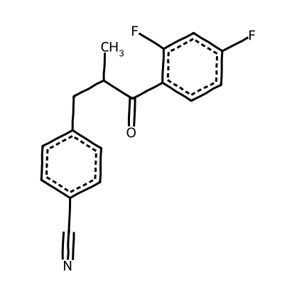 CC(Cc1ccc(C#N)cc1)C(=O)c1ccc(F)cc1F